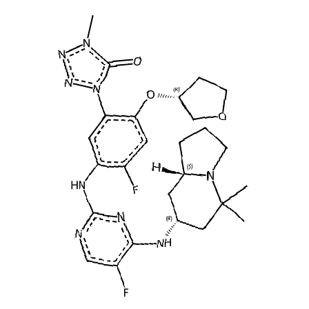 Cn1nnn(-c2cc(Nc3ncc(F)c(N[C@@H]4C[C@@H]5CCCN5C(C)(C)C4)n3)c(F)cc2O[C@@H]2CCOC2)c1=O